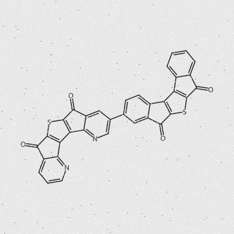 O=c1c2ccccc2c2c1sc1c(=O)c3cc(-c4cnc5c(c4)c(=O)c4sc6c(=O)c7cccnc7c6c45)ccc3c12